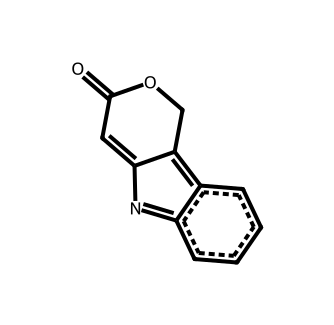 O=C1C=C2N=c3ccccc3=C2CO1